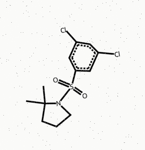 CC1(C)CCCN1S(=O)(=O)c1cc(Cl)cc(Cl)c1